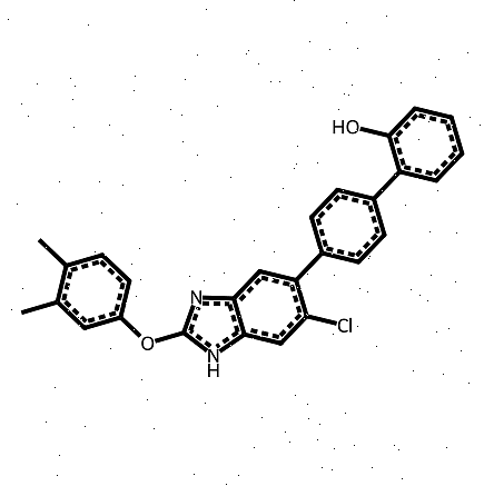 Cc1ccc(Oc2nc3cc(-c4ccc(-c5ccccc5O)cc4)c(Cl)cc3[nH]2)cc1C